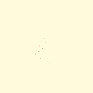 O=C(Nc1ccnc(CN2CCCC2)c1)c1n[nH]c2ccc(-c3cncc(N4CCCCC4)c3)cc12